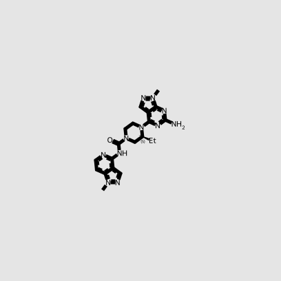 CC[C@H]1CN(C(=O)Nc2nccc3c2cnn3C)CCN1c1nc(N)nc2c1cnn2C